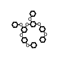 c1ccc(Oc2ccc(Oc3ccc(Oc4ccc(Oc5ccc(Oc6ccccc6)cc5)cc4Oc4ccccc4)c(Oc4ccccc4)c3)cc2)cc1